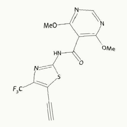 C#Cc1sc(NC(=O)c2c(OC)ncnc2OC)nc1C(F)(F)F